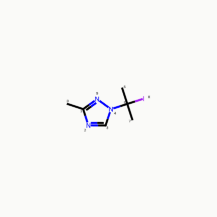 Cc1ncn(C(C)(C)I)n1